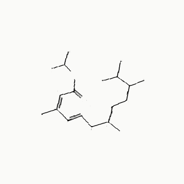 CC(C=CCC(C)CCC(C)C(C)C)=CC(=O)OC(C)C